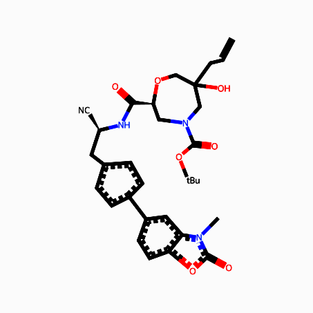 C=CCC1(O)CO[C@H](C(=O)N[C@H](C#N)Cc2ccc(-c3ccc4oc(=O)n(C)c4c3)cc2)CN(C(=O)OC(C)(C)C)C1